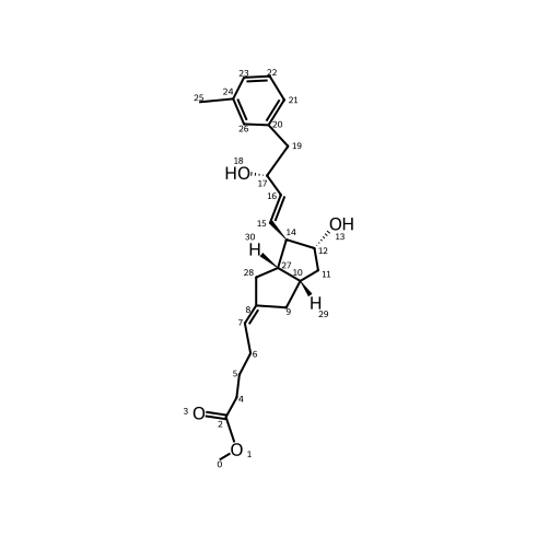 COC(=O)CCC/C=C1\C[C@H]2C[C@@H](O)[C@H](/C=C/[C@H](O)Cc3cccc(C)c3)[C@H]2C1